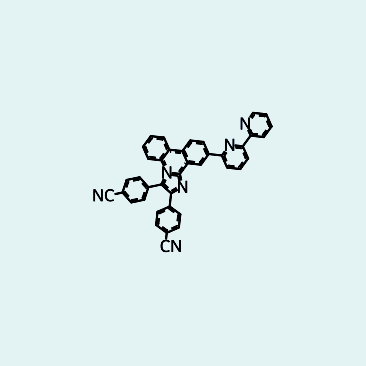 N#Cc1ccc(-c2nc3c4cc(-c5cccc(-c6ccccn6)n5)ccc4c4ccccc4n3c2-c2ccc(C#N)cc2)cc1